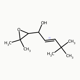 CC(C)(C)/C=C/C(O)C1OC1(C)C